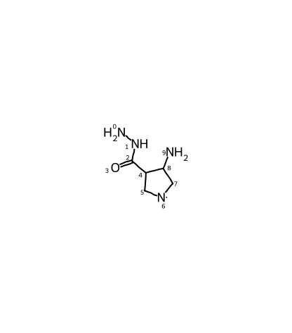 NNC(=O)C1C[N]CC1N